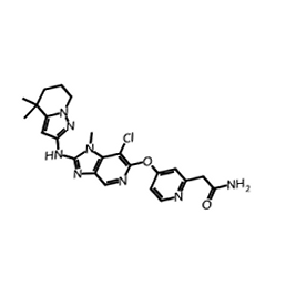 Cn1c(Nc2cc3n(n2)CCCC3(C)C)nc2cnc(Oc3ccnc(CC(N)=O)c3)c(Cl)c21